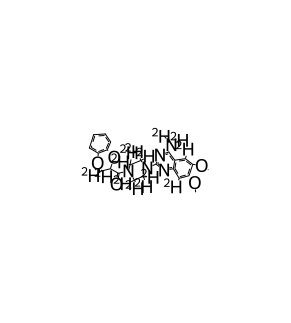 [2H]c1c(OC)c(OC)c([2H])c2c(N([2H])[2H])nc(N3C([2H])([2H])C([2H])([2H])N(C(=O)C4Oc5ccccc5OC4([2H])[2H])C([2H])([2H])C3([2H])[2H])nc12